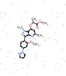 COC(=O)C(C)Oc1cc(C)nc2c(-c3ccc(-n4cccn4)cc3OC)nn(C)c12